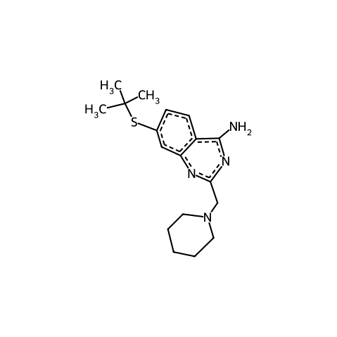 CC(C)(C)Sc1ccc2c(N)nc(CN3CCCCC3)nc2c1